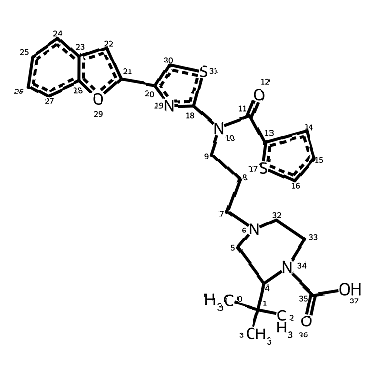 CC(C)(C)C1CN(CCCN(C(=O)c2cccs2)c2nc(-c3cc4ccccc4o3)cs2)CCN1C(=O)O